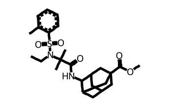 CCN(C(C)(C)C(=O)NC1C2CC3CC1CC(C(=O)OC)(C3)C2)S(=O)(=O)c1ccccc1C